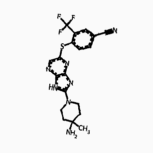 CC1(N)CCN(c2nc3nc(Sc4ccc(C#N)cc4C(F)(F)F)cnc3[nH]2)CC1